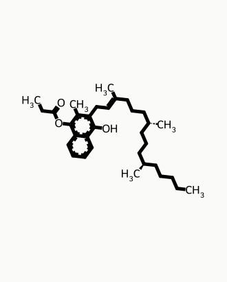 CCCCC[C@@H](C)CCC[C@@H](C)CCC/C(C)=C/Cc1c(C)c(OC(=O)CC)c2ccccc2c1O